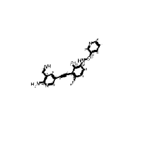 N=Cc1cc(C#Cc2c(F)ccc(NSc3cccnc3)c2F)cnc1N